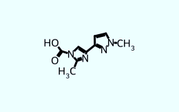 Cc1nc(-c2ccn(C)n2)cn1C(=O)O